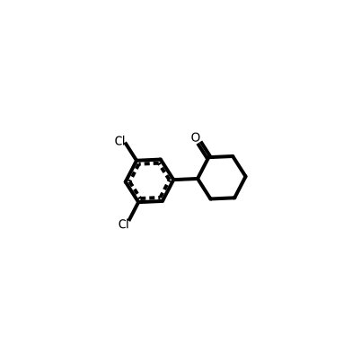 O=C1CCCCC1c1cc(Cl)cc(Cl)c1